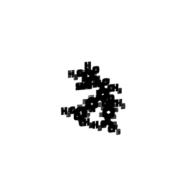 CSc1cc(C)[nH]c(=O)c1CNC(=O)c1cc(-c2ccc(N3C[C@@H](C)O[C@@H](C)C3)nc2)c2c(c1C)OC(C)([C@H]1CC[C@H](N(C)CC(F)(F)F)CC1)O2